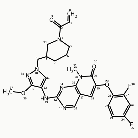 C=CC(=O)N1CCCC(Cn2cc(Nc3ncc4cc(Oc5ccc(F)cc5F)c(=O)n(C)c4n3)c(OC)n2)C1